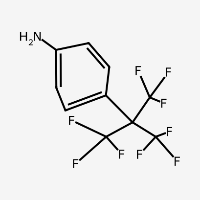 Nc1ccc(C(C(F)(F)F)(C(F)(F)F)C(F)(F)F)cc1